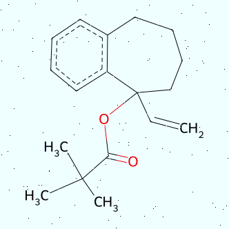 C=CC1(OC(=O)C(C)(C)C)CCCCc2ccccc21